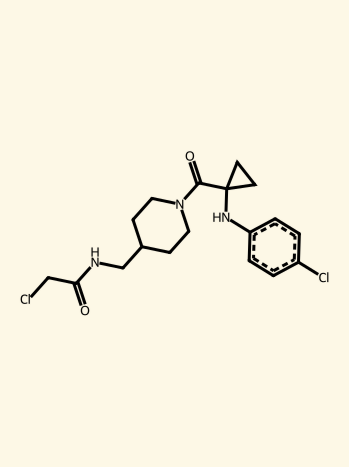 O=C(CCl)NCC1CCN(C(=O)C2(Nc3ccc(Cl)cc3)CC2)CC1